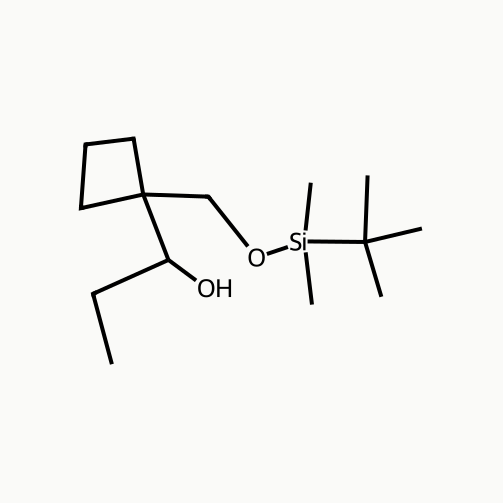 CCC(O)C1(CO[Si](C)(C)C(C)(C)C)CCC1